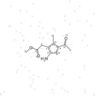 COC(=O)Cc1c(N)sc(C(C)=O)c1C